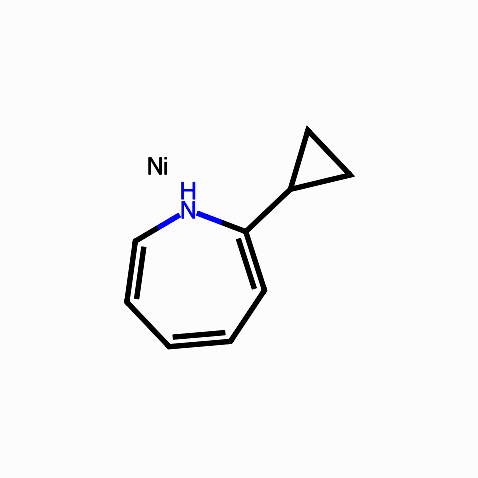 C1=CC=C(C2CC2)NC=C1.[Ni]